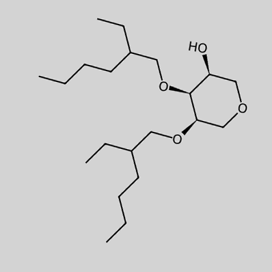 CCCCC(CC)CO[C@H]1[C@@H](O)COC[C@H]1OCC(CC)CCCC